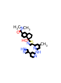 Cc1cc(Nc2cc(-c3cn[nH]c3)ccn2)nc(-c2cnc(C3(O)CCCc4cc(C(=O)N(C)C)ccc43)s2)c1